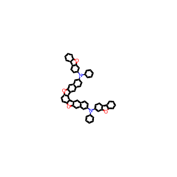 c1ccc(N(c2ccc3cc4c(cc3c2)oc2ccc3oc5cc6cc(N(c7ccccc7)c7ccc8c(c7)oc7ccccc78)ccc6cc5c3c24)c2ccc3c(c2)oc2ccccc23)cc1